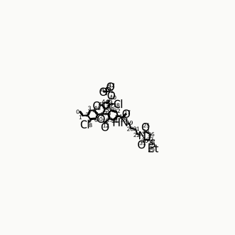 C=Cc1cc2c(cc1Cl)C1(OC(=O)c3cc(C(=O)NCCCCN4C(=O)CC(SCC)C4=O)ccc31)c1cc(Cl)c(OP(=O)=O)cc1O2